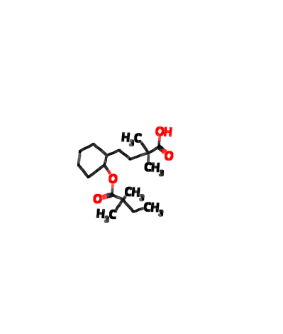 CCC(C)(C)C(=O)OC1CCCCC1CCC(C)(C)C(=O)O